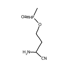 C[PH](=O)OCCC(N)C#N